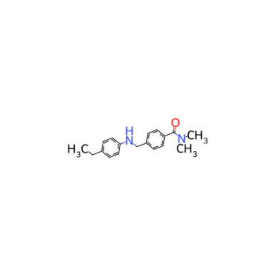 CCc1ccc(NCc2ccc(C(=O)N(C)C)cc2)cc1